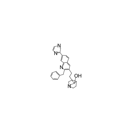 OC1(CCc2cc3ccc(-c4cnccn4)cc3nc2Cc2ccccc2)CN2CCC1CC2